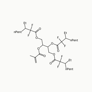 C=C(C)C(=O)OC(COC(=O)C(F)(F)C(CC)CCCCC)C(COC(=O)C(F)(F)C(CC)CCCCC)OC(=O)C(F)(F)C(CC)CCCCC